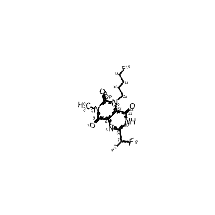 Cn1c(=O)c2nc(C(F)F)[nH]c(=O)c2n(CCCCF)c1=O